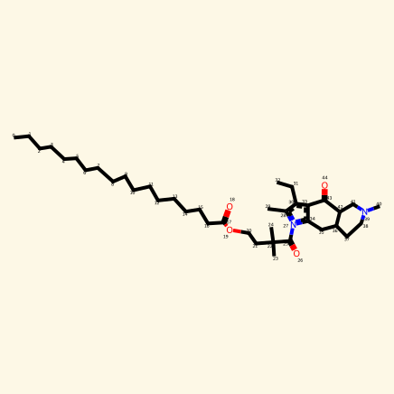 CCCCCCCCCCCCCCCCCC(=O)OCCC(C)(C)C(=O)n1c(C)c(CC)c2c1CC1CCN(C)CC1C2=O